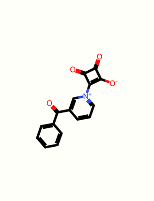 O=C(c1ccccc1)c1ccc[n+](-c2c([O-])c(=O)c2=O)c1